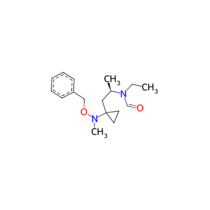 CCN(C=O)[C@H](C)CC1(N(C)OCc2ccccc2)CC1